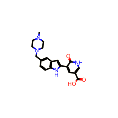 CN1CCN(Cc2ccc3[nH]c(-c4cc(C(=O)O)c[nH]c4=O)cc3c2)CC1